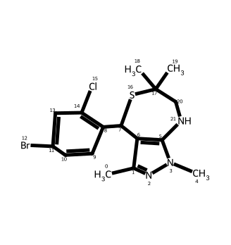 Cc1nn(C)c2c1C(c1ccc(Br)cc1Cl)SC(C)(C)CN2